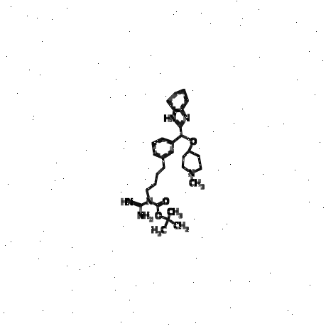 CN1CCC(OC(c2cccc(CCCCN(C(=N)N)C(=O)OC(C)(C)C)c2)c2nc3ccccc3[nH]2)CC1